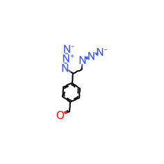 [N-]=[N+]=NCC(N=[N+]=[N-])c1ccc(C=O)cc1